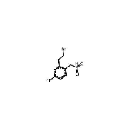 O=[SH](=O)Cc1ccc(Cl)cc1CCBr